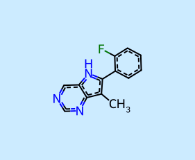 Cc1c(-c2ccccc2F)[nH]c2cncnc12